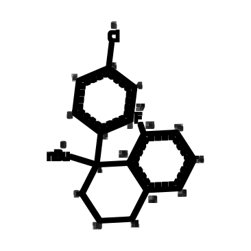 CCCCC1(c2ccc(Cl)cc2)CCCc2cccc(F)c21